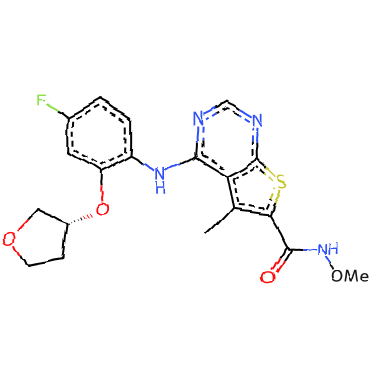 CONC(=O)c1sc2ncnc(Nc3ccc(F)cc3O[C@@H]3CCOC3)c2c1C